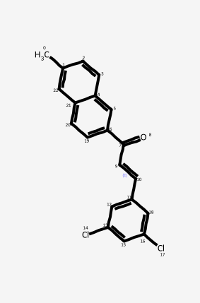 Cc1ccc2cc(C(=O)/C=C/c3cc(Cl)cc(Cl)c3)ccc2c1